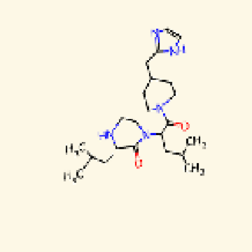 CC(C)CC(C(=O)N1CCC(Cc2ncc[nH]2)CC1)N1CCN[C@@H](CC(C)C)C1=O